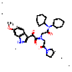 COc1ccc2c(C(=O)C(=O)N(CC(=O)N3CCCC3)CC(=O)N(C3CCCCC3)C3CCCCC3)c[nH]c2c1